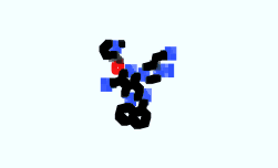 CN1CCC[C@H]1COc1nc(N2CCN[C@H](CC#N)C2)c2c(c1C#N)CN(c1cccc3cccc(C#N)c13)CC2